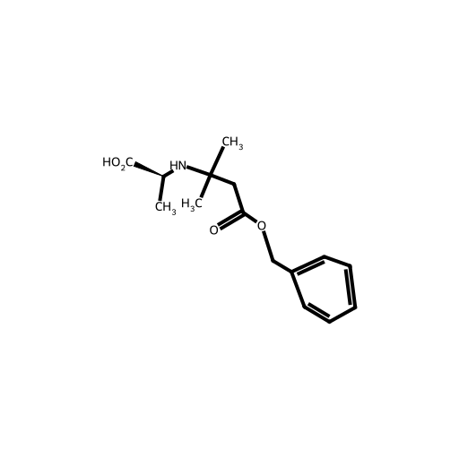 C[C@H](NC(C)(C)CC(=O)OCc1ccccc1)C(=O)O